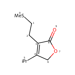 CSCCC1=C(C(C)C)COC1=O